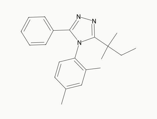 CCC(C)(C)c1nnc(-c2ccccc2)n1-c1ccc(C)cc1C